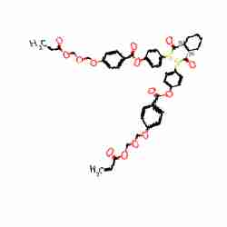 C=CC(=O)OCOCOc1ccc(C(=O)Oc2ccc(SC(=O)[C@H]3CCCC[C@@H]3C(=O)Sc3ccc(OC(=O)c4ccc(OCOCOC(=O)C=C)cc4)cc3)cc2)cc1